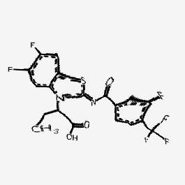 CCC(C(=O)O)n1/c(=N/C(=O)c2ccc(C(F)(F)F)c(F)c2)sc2cc(F)c(F)cc21